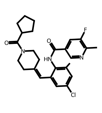 Cc1cc(Cl)cc(C=C2CCN(C(=O)C3CCCC3)CC2)c1NC(=O)c1cnc(C)c(F)c1